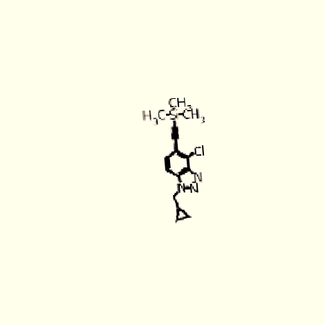 C[Si](C)(C)C#Cc1ccc2c(nnn2CC2CC2)c1Cl